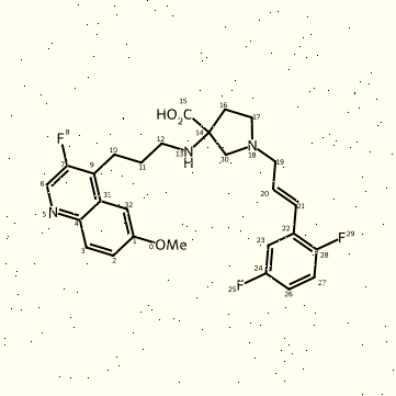 COc1ccc2ncc(F)c(CCCNC3(C(=O)O)CCN(CC=Cc4cc(F)ccc4F)C3)c2c1